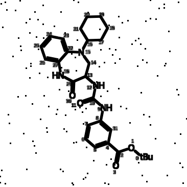 CC(C)(C)OC(=O)c1cccc(NC(=O)NC2CN(C3CCCCC3)c3ccccc3NC2=O)c1